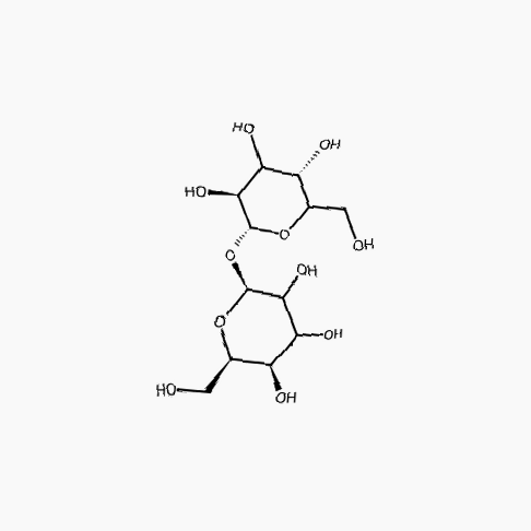 OCC1O[C@H](O[C@@H]2O[C@H](CO)[C@H](O)C(O)C2O)[C@@H](O)C(O)[C@@H]1O